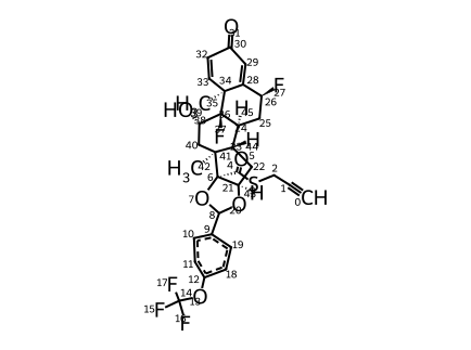 C#CCSC(=O)[C@@]12OC(c3ccc(OC(F)(F)F)cc3)O[C@@H]1C[C@H]1[C@@H]3C[C@H](F)C4=CC(=O)C=C[C@]4(C)[C@@]3(F)[C@@H](O)C[C@@]12C